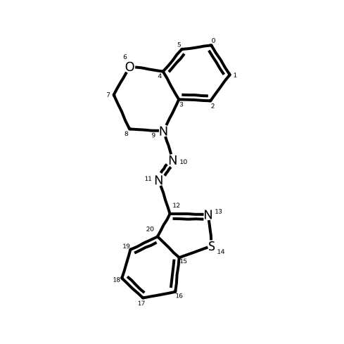 c1ccc2c(c1)OCCN2N=Nc1nsc2ccccc12